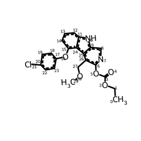 CCOC(=O)Oc1ncc2[nH]c3cccc(Oc4ccc(Cl)cc4)c3c2c1COC